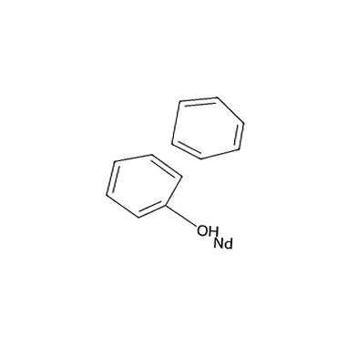 Oc1ccccc1.[Nd].c1ccccc1